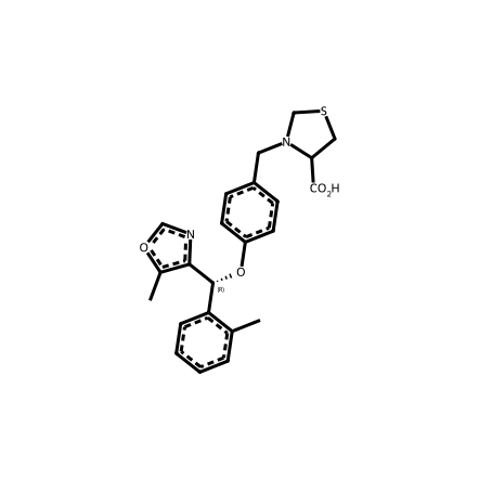 Cc1ccccc1[C@@H](Oc1ccc(CN2CSCC2C(=O)O)cc1)c1ncoc1C